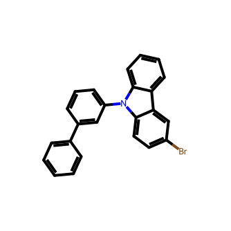 Brc1ccc2c(c1)c1ccccc1n2-c1cccc(-c2ccccc2)c1